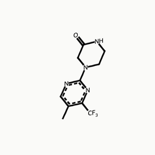 Cc1cnc(N2CCNC(=O)C2)nc1C(F)(F)F